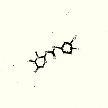 CN1C(NC(=O)Nc2ccc(Cl)c(Cl)c2)NCC(F)C1Cl